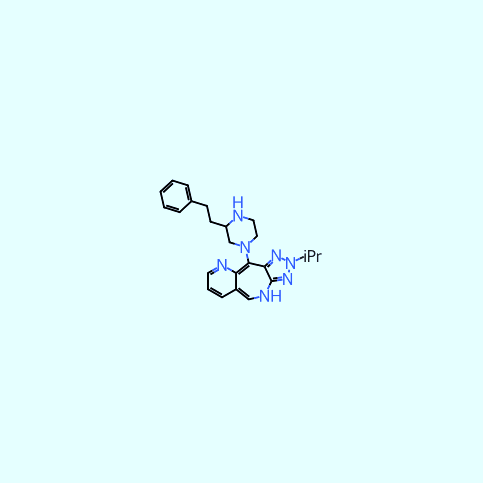 CC(C)n1nc2c(n1)C(N1CCNC(CCc3ccccc3)C1)=c1ncccc1=CN2